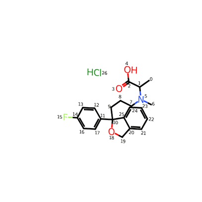 CC(C(=O)O)N(C)CCCC1(c2ccc(F)cc2)OCc2ccccc21.Cl